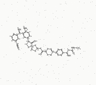 CNC(=O)OC(=N)c1ccc(C2=CCN(C(=O)CN3CC[C@]4(CCN(c5ccc(N)c(C(=N)c6cccc(C#N)c6)c5)C4=O)C3)CC2)cc1